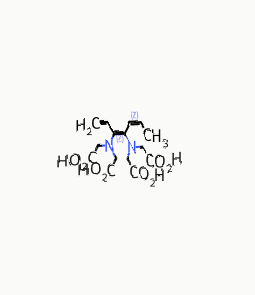 C=C/C(=C(\C=C/C)N(CC(=O)O)CC(=O)O)N(CC(=O)O)CC(=O)O